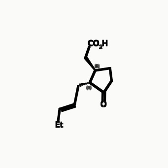 CCC=CC[C@H]1C(=O)CC[C@@H]1CC(=O)O